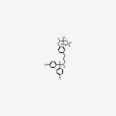 COC(O[Si](C)(C)C)([C@H](C)Oc1ccc(CCCN(C)C(C)(c2ccc(Cl)cc2)c2ccc(Cl)cc2)cc1)C(F)(F)F